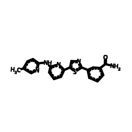 Cc1ccc(Nc2cccc(-c3cnc(-c4cccc(C(N)=O)c4)s3)n2)nc1